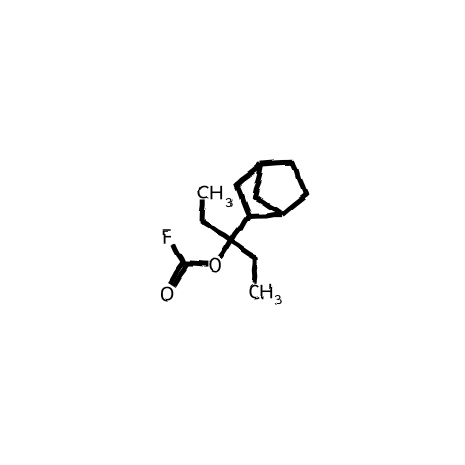 CCC(CC)(OC(=O)F)C1CC2CCC1C2